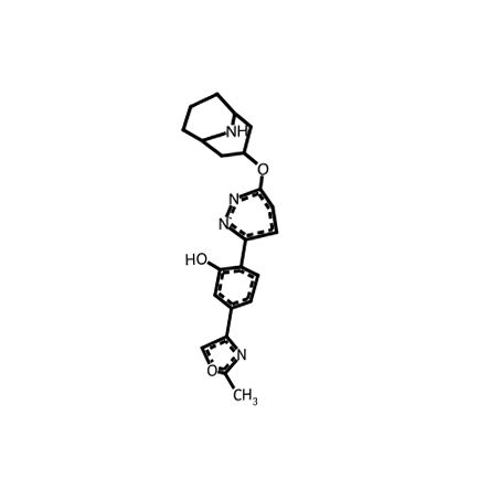 Cc1nc(-c2ccc(-c3ccc(OC4CC5CCCC(C4)N5)nn3)c(O)c2)co1